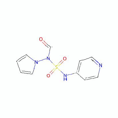 O=[C]N(n1cccc1)S(=O)(=O)Nc1ccncc1